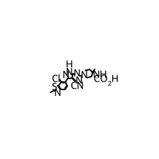 Cc1nc2ccc(-c3n[nH]c4nc(N5CCC(C)(NC(=O)O)CC5)nc(C#N)c34)c(Cl)c2s1